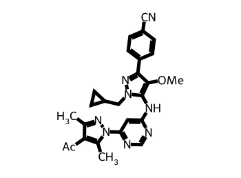 COc1c(-c2ccc(C#N)cc2)nn(CC2CC2)c1Nc1cc(-n2nc(C)c(C(C)=O)c2C)ncn1